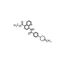 COC(=O)c1ccc(NC(=O)c2ccc(C3CCN(C)CC3)cc2)c2ncccc12